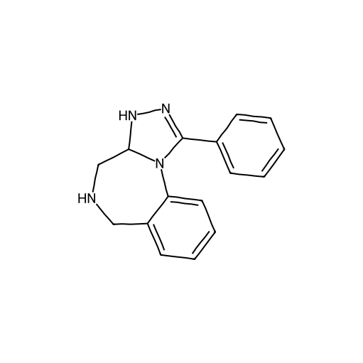 c1ccc(C2=NNC3CNCc4ccccc4N23)cc1